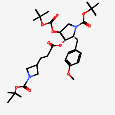 COc1ccc(C[C@@H]2[C@H](OC(=O)CCC3CN(C(=O)OC(C)(C)C)C3)[C@@H](OC(=O)OC(C)(C)C)CN2C(=O)OC(C)(C)C)cc1